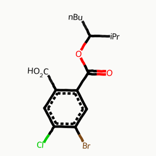 CCCCC(OC(=O)c1cc(Br)c(Cl)cc1C(=O)O)C(C)C